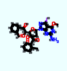 COc1nc(N)nc2c1c(I)nn2[C@@H]1C[C@@](O)(C(=O)c2ccccc2C)[C@@H](C(O)C(=O)c2ccccc2C)O1